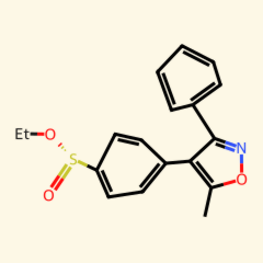 CCO[S@@](=O)c1ccc(-c2c(-c3ccccc3)noc2C)cc1